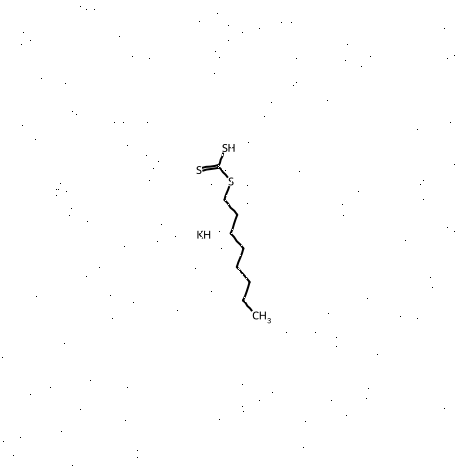 CCCCCCCCSC(=S)S.[KH]